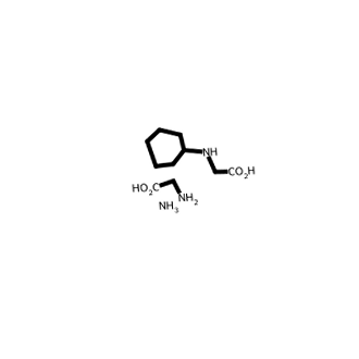 N.NCC(=O)O.O=C(O)CNC1CCCCC1